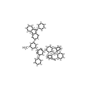 Cc1cc(-c2ccc3c(c2)c2ccccc2n3-c2ccccc2)cc(-c2nc(-c3ccccc3)cc(-c3ccc4c(c3)C3(c5ccccc5Sc5ccccc53)c3ccccc3-4)n2)c1